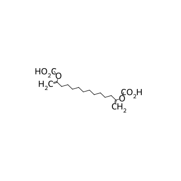 C=C(CCCCCCCCCCC(=C)OC(=O)O)OC(=O)O